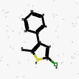 Cc1sc(Cl)cc1-c1ccccc1